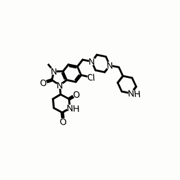 Cn1c(=O)n(C2CCC(=O)NC2=O)c2cc(Cl)c(CN3CCN(CC4CCNCC4)CC3)cc21